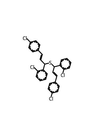 Clc1ccc(C=CC(SC(C=Cc2ccc(Cl)cc2)c2ccccc2Cl)c2ccccc2Cl)cc1